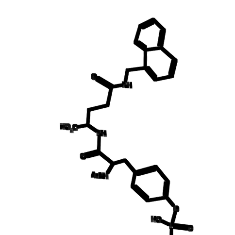 CC(=O)NC(Cc1ccc(OP(=O)(O)O)cc1)C(=O)NC(CCC(=O)NCc1cccc2ccccc12)C(=O)O